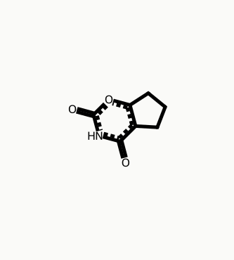 O=c1[nH]c(=O)c2c(o1)CCC2